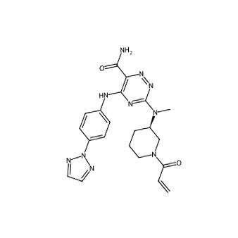 C=CC(=O)N1CCC[C@@H](N(C)c2nnc(C(N)=O)c(Nc3ccc(-n4nccn4)cc3)n2)C1